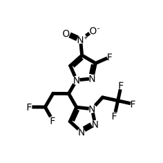 O=[N+]([O-])c1cn(C(CC(F)F)c2cnnn2CC(F)(F)F)nc1F